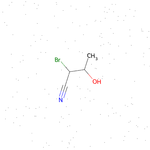 CC(O)C(Br)C#N